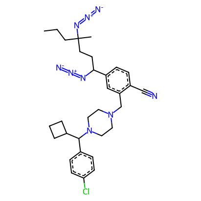 CCCC(C)(CCC(N=[N+]=[N-])c1ccc(C#N)c(CN2CCN(C(c3ccc(Cl)cc3)C3CCC3)CC2)c1)N=[N+]=[N-]